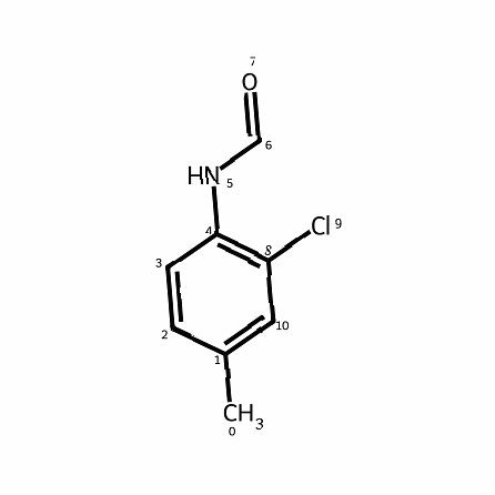 Cc1ccc(NC=O)c(Cl)c1